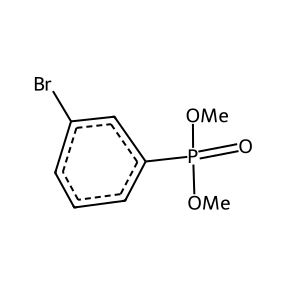 COP(=O)(OC)c1cccc(Br)c1